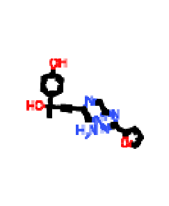 CC(O)(C#CC1=C[N+]2(N)N=C(c3ccco3)N=C2C=N1)c1ccc(O)cc1